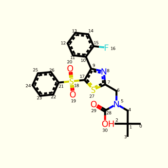 CC(C)(C)CN(Cc1nc(-c2ccccc2F)c(S(=O)(=O)c2ccccc2)s1)C(=O)O